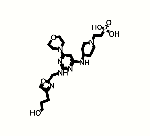 O=P(O)(O)CCN1CCC(Nc2cc(N3CCOCC3)nc(NCc3nc(CCCO)co3)n2)CC1